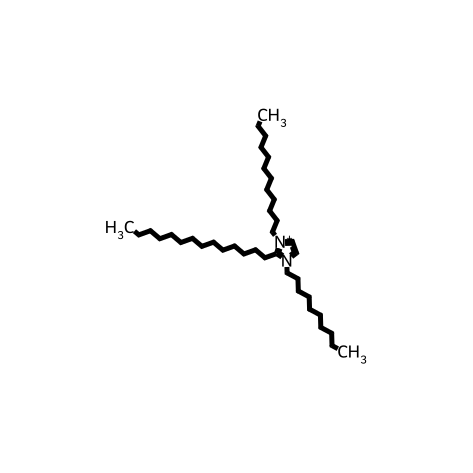 CCCCCCCCCCCCCCc1n(CCCCCCCCCC)cc[n+]1CCCCCCCCCCCC